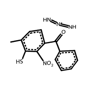 Cc1ccc(C(=O)c2ccccc2)c([N+](=O)[O-])c1S.N=[N+]=N